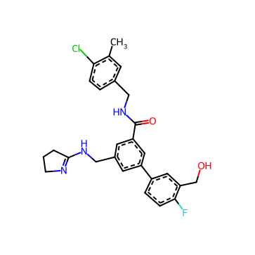 Cc1cc(CNC(=O)c2cc(CNC3=NCCC3)cc(-c3ccc(F)c(CO)c3)c2)ccc1Cl